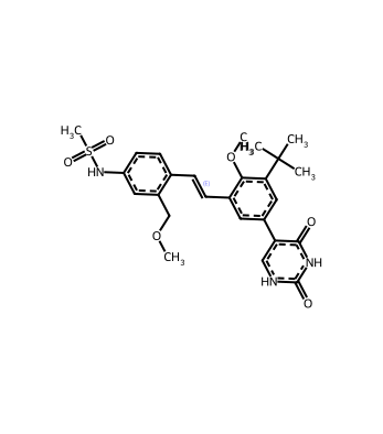 COCc1cc(NS(C)(=O)=O)ccc1/C=C/c1cc(-c2c[nH]c(=O)[nH]c2=O)cc(C(C)(C)C)c1OC